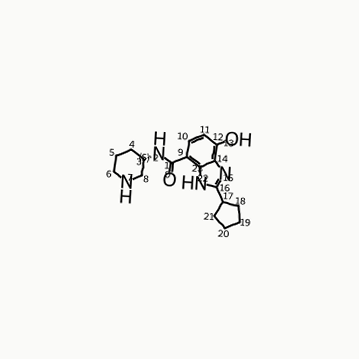 O=C(N[C@H]1CCCNC1)c1ccc(O)c2nc(C3CCCC3)[nH]c12